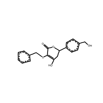 O=C1OC(c2ccc(CO)cc2)CC(O)=C1SCc1ccccc1